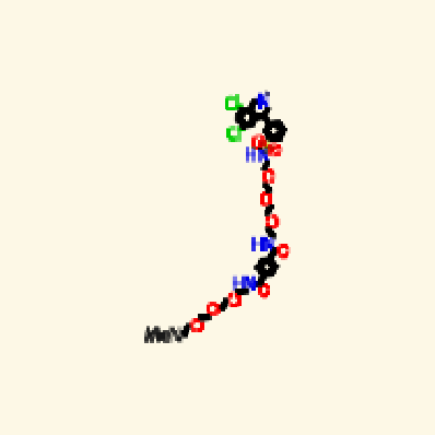 CNCCOCCOCCOCCNC(=O)c1ccc(C(=O)NCCOCCOCCOCCNS(=O)(=O)c2cccc(C3CN(C)Cc4c(Cl)cc(Cl)cc43)c2)cc1